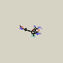 Cc1nnc(C23CC(C#Cc4cc(C(F)(F)F)cc(C5(C(C)C)C(C#N)=C(N)Oc6[nH]nc(C)c65)c4)(C2)C3)o1